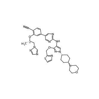 C[C@@H](Cn1cncn1)Oc1cc(-c2cnc(Nc3cn([C@H]4CC[C@H](N5CCOCC5)CC4)nc3OCc3nccs3)nc2)ccc1C#N